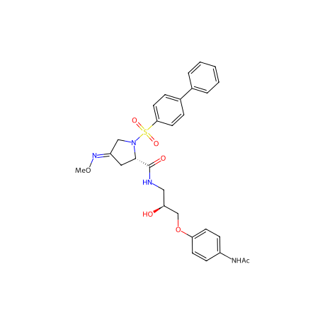 CO/N=C1\C[C@@H](C(=O)NC[C@H](O)COc2ccc(NC(C)=O)cc2)N(S(=O)(=O)c2ccc(-c3ccccc3)cc2)C1